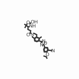 Cc1c(-c2noc(-c3ccc(OC(C)C)c(C#N)c3)n2)ccc2c1CCN(C(=O)CCC(NC(=O)O)C(C)(C)C)C2